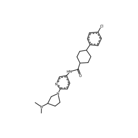 CN(C)C1CCN(c2ccc(NC(=O)C3CCC(c4ccc(Cl)cc4)CC3)cn2)C1